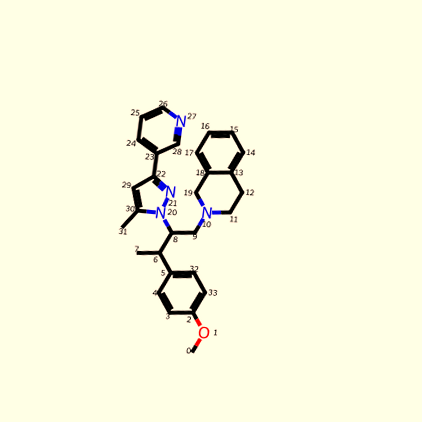 COc1ccc(C(C)C(CN2CCc3ccccc3C2)n2nc(-c3cccnc3)cc2C)cc1